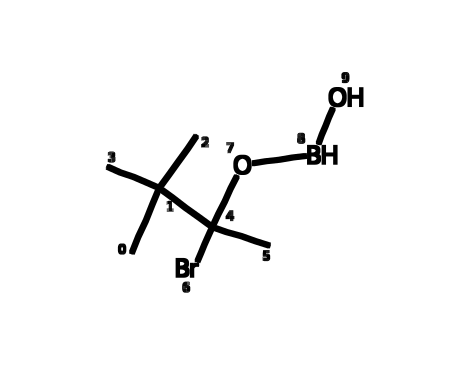 CC(C)(C)C(C)(Br)OBO